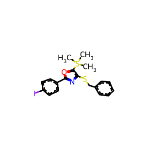 CS(C)(C)c1oc(-c2ccc(I)cc2)nc1SCc1ccccc1